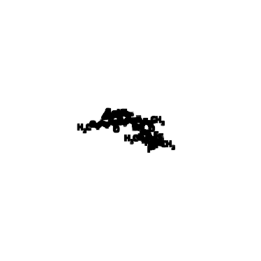 COCCCN(C(=O)c1cc(-c2cnn(-c3c(OC(C)F)c(C(F)(C(C)(F)F)C(F)(F)F)nn3C)c2)ccc1Cl)C1(C#N)CC1